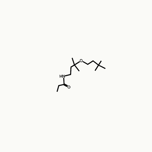 CCC(=O)NCCC(C)(C)OCCC(C)(C)C